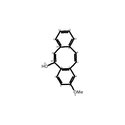 COc1ccc2c(c1)/C=C\c1ccccc1C=C2O